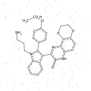 CC(=O)O.NCCCn1c(-c2ccc(Cl)cc2)c(-c2nc3c4c(ccc3[nH]c2=O)OCCO4)c2ccccc21